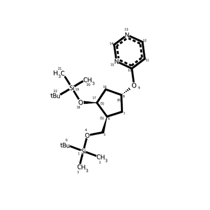 CC(C)(C)[Si](C)(C)OC[C@@H]1C[C@@H](Oc2ccncn2)C[C@@H]1O[Si](C)(C)C(C)(C)C